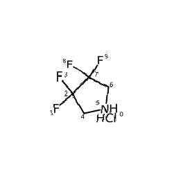 Cl.FC1(F)CNCC1(F)F